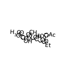 CCC1CC(CCCC(O)CC2C[C@H](C)OC(c3cc(S(C)(=O)=O)ccc3O)O2)OC(c2cc(C(C)=O)ccc2O)O1